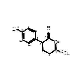 CCCCC1CCC(c2ccc(Cl)cc2)C(=O)O1